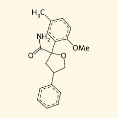 COc1ccc(C)cc1C1(C(N)=O)CC(c2ccccc2)CO1